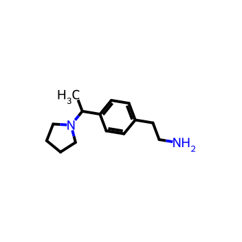 CC(c1ccc(CCN)cc1)N1CCCC1